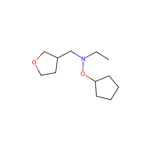 CCN(CC1CCOC1)OC1CCCC1